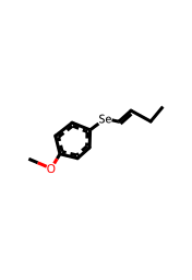 CCC=C[Se]c1ccc(OC)cc1